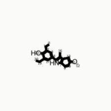 CCc1cc(-c2[nH]c3ccc(OC)cc3c2C)cc(CC)c1O